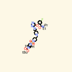 CCN(C(=O)c1cc(F)ccc1Oc1cncnc1N1CC2(CCN(CC3CCN(S(=O)(=O)N4C[C@@H]5C[C@H]4CN5C(=O)OC(C)(C)C)CC3)CC2)C1)C(C)C